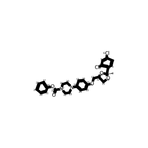 C[C@]1(c2ccc(Cl)cc2Cl)OCC(COc2ccc(N3CCN(C(=O)Oc4ccccc4)CC3)cc2)O1